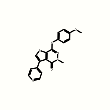 COc1ccc(Oc2nn(C)c(=O)c3c(-c4ccncc4)csc23)cc1